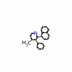 Cc1ccnc(-c2cccc3ccccc23)c1-c1ccccc1